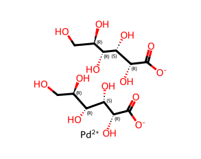 O=C([O-])[C@H](O)[C@@H](O)[C@H](O)[C@H](O)CO.O=C([O-])[C@H](O)[C@@H](O)[C@H](O)[C@H](O)CO.[Pd+2]